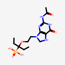 CCC(CC)(OCCN1CNc2c1nc(NC(C)=O)[nH]c2=O)P(=O)(O)O